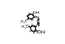 Cc1ccc(O)c(N=C=Nc2cc(C)ccc2O)c1